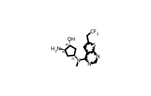 CN(c1ncnc2sc(CC(F)(F)F)cc12)[C@H]1C[C@@H](N)[C@H](O)C1